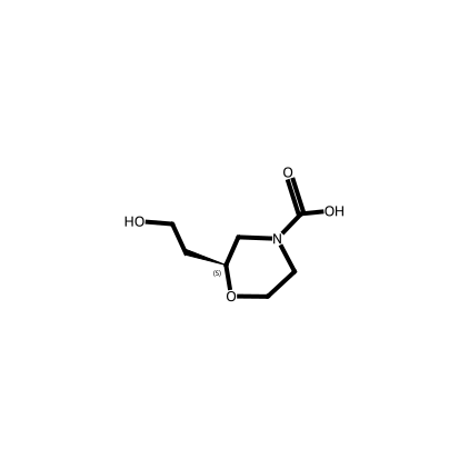 O=C(O)N1CCO[C@@H](CCO)C1